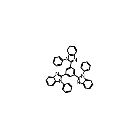 C1=Cc2nc(-c3cc(-c4nc5ccccc5n4-c4ccccc4)cc(-c4nc5ccccc5n4-c4ccccc4)c3)n(-c3ccccc3)c2CC1